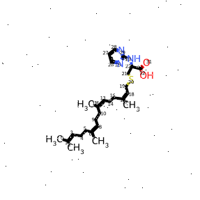 CC(C)=CCCC(C)=CCCC(C)=CCCC(C)=CCSCC(Nc1ncccn1)C(=O)O